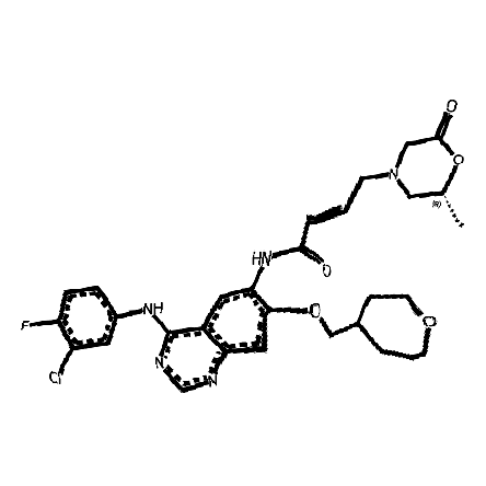 C[C@@H]1CN(CC=CC(=O)Nc2cc3c(Nc4ccc(F)c(Cl)c4)ncnc3cc2OCC2CCOCC2)CC(=O)O1